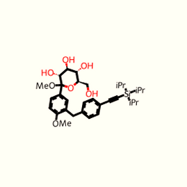 COc1ccc(C2(OC)O[C@H](CO)[C@@H](O)[C@H](O)[C@H]2O)cc1Cc1ccc(C#C[Si](C(C)C)(C(C)C)C(C)C)cc1